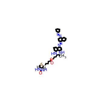 CC1Nc2ccc(/N=N/c3ccc(/N=N/c4ccccc4)c4ccccc34)c3cccc(c23)NC1CCCOC(=O)CCCC[C@H]1SC[C@H]2NC(=O)N[C@H]21